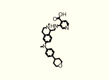 CN(c1ccc(C2CCOCC2)cc1)c1ccc2c(c1)CCN(C)C2CNc1cnccc1C(=O)O